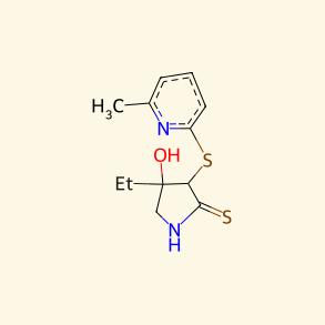 CCC1(O)CNC(=S)C1Sc1cccc(C)n1